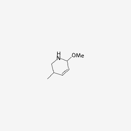 COC1C=CC(C)CN1